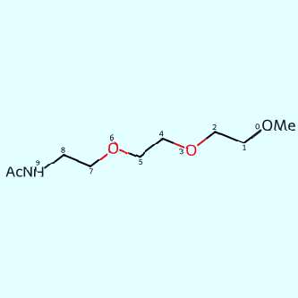 COCCOCCOCCNC(C)=O